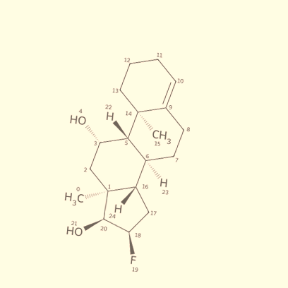 C[C@]12C[C@H](O)[C@H]3[C@@H](CCC4=CCCC[C@@]43C)[C@@H]1C[C@@H](F)[C@H]2O